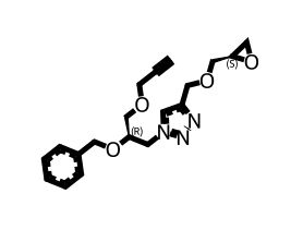 C#CCOC[C@@H](Cn1cc(COC[C@H]2CO2)nn1)OCc1ccccc1